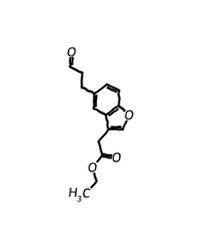 CCOC(=O)Cc1coc2ccc(CCC=O)cc12